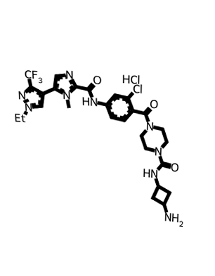 CCn1cc(-c2cnc(C(=O)Nc3ccc(C(=O)N4CCN(C(=O)NC5CC(N)C5)CC4)c(Cl)c3)n2C)c(C(F)(F)F)n1.Cl